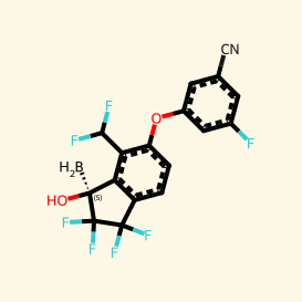 B[C@]1(O)c2c(ccc(Oc3cc(F)cc(C#N)c3)c2C(F)F)C(F)(F)C1(F)F